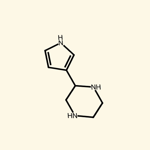 c1cc(C2CNCCN2)c[nH]1